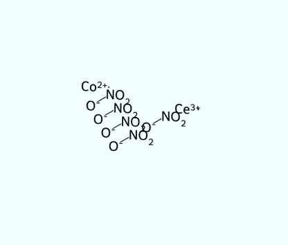 O=[N+]([O-])[O-].O=[N+]([O-])[O-].O=[N+]([O-])[O-].O=[N+]([O-])[O-].O=[N+]([O-])[O-].[Ce+3].[Co+2]